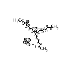 CCCCCCCC[N+](C)(CCCCCCCC)CCCCCC(=O)OCC.COS(=O)(=O)[O-]